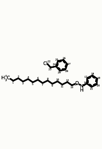 CCCCCCCCCCCCCCONc1ccccc1.ClCc1ccccc1